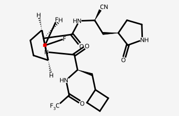 N#C[C@@H](C[C@H]1CCNC1=O)NC(=O)[C@@H]1[C@@H]2CC[C@@H](CC2(F)F)N1C(=O)[C@@H](CC1CCC1)NC(=O)C(F)(F)F